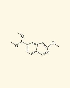 COc1ccc2ccc(C(OC)OC)cc2c1